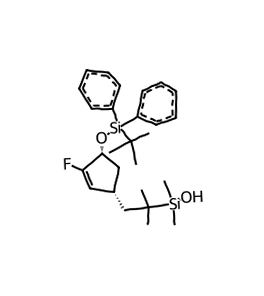 CC(C)(C[C@@H]1C=C(F)[C@H](O[Si](c2ccccc2)(c2ccccc2)C(C)(C)C)C1)[Si](C)(C)O